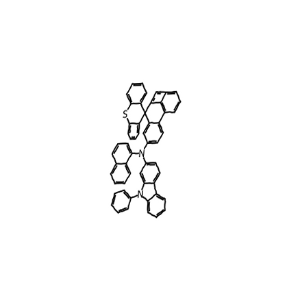 c1ccc(-n2c3ccccc3c3ccc(N(c4ccc5c(c4)C4(c6ccccc6Sc6ccccc64)c4cccc6cccc-5c46)c4cccc5ccccc45)cc32)cc1